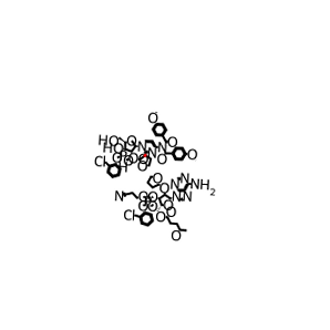 CC(=O)CCC(=O)OC[C@H]1O[C@@H](n2cnc3c(N)ncnc32)[C@H](OC2CCCO2)[C@@H]1OP(=O)(OCCC#N)Oc1ccccc1Cl.COc1ccc(C(=O)N(C(=O)c2ccc(OC)cc2)c2ccn([C@@H]3O[C@H](CO)[C@](O)([PH](=O)Oc4ccccc4Cl)[C@H]3OC3CCCO3)c(=O)n2)cc1